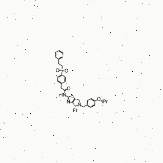 CC[C@@H]1c2nc(NC(=O)Cc3ccc(S(=O)(=O)CCc4ccccc4)cc3)sc2CN1Cc1ccc(OC(C)C)cc1